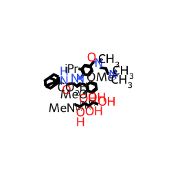 CNC[C@H](O)[C@@H](O)[C@H](O)[C@H](O)CO.COc1cccc(OC)c1-c1cc(C(=O)NC2(C(=O)O)C3CC4CC(C3)CC2C4)nn1-c1ccc(C(=O)N(C)CCCN(C)C)cc1C(C)C